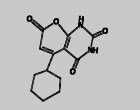 O=c1[nH]c(=O)c2c(C3CCCCC3)cc(=O)oc2[nH]1